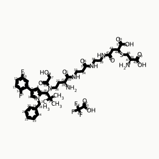 CC(C)(C)[C@H](c1cc(-c2cc(F)ccc2F)cn1Cc1ccccc1)N(CC[C@H](N)C(=O)NCCC(=O)NCCNC(=O)CC(SC[C@H](N)C(=O)O)C(=O)O)C(=O)CO.O=C(O)C(F)(F)F